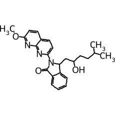 COc1ccc2ccc(N3C(=O)c4ccccc4C3CC(O)CCC(C)C)nc2n1